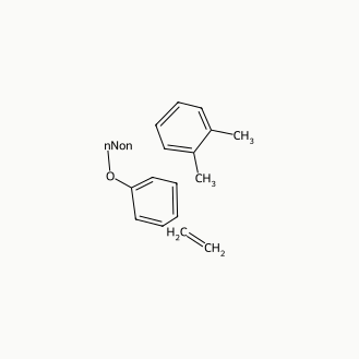 C=C.CCCCCCCCCOc1ccccc1.Cc1ccccc1C